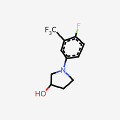 OC1CCN(c2ccc(F)c(C(F)(F)F)c2)C1